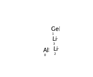 [Al].[Ge].[Li].[Li]